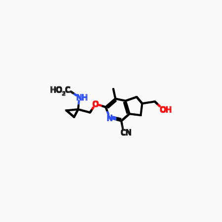 Cc1c(OCC2(NC(=O)O)CC2)nc(C#N)c2c1CC(CO)C2